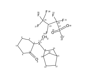 C[S+](C1CCCCC1=O)C1CC2CCC1C2.O=S(=O)([O-])C(F)(F)C(F)C(F)(F)F